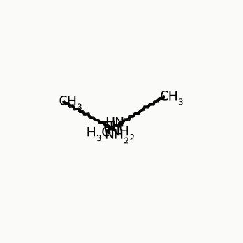 CCCCCCCCCCCCCCCCCCNCCC(N)C(NCCCCCCCCCCCCCCCCCC)C(C)N